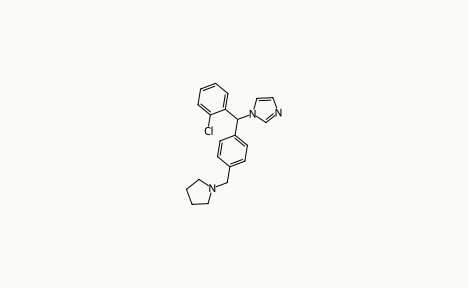 Clc1ccccc1C(c1ccc(CN2CCCC2)cc1)n1ccnc1